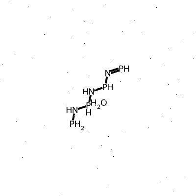 O.P=NPNPNP